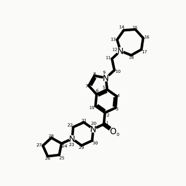 O=C(c1ccc2c(ccn2CCN2CCCCCC2)c1)N1CCN(C2CCCC2)CC1